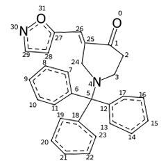 O=C1CCN(C(c2ccccc2)(c2ccccc2)c2ccccc2)C/C1=C\c1ccno1